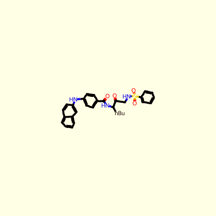 CCCCC(NC(=O)c1ccc(Nc2ccc3ccccc3c2)cc1)C(=O)CNS(=O)(=O)c1ccccc1